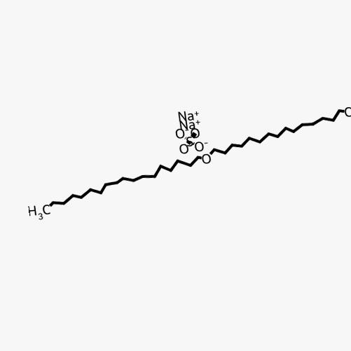 CCCCCCCCCCCCCCCCCCOCCCCCCCCCCCCCCCC.O=S(=O)([O-])[O-].[Na+].[Na+]